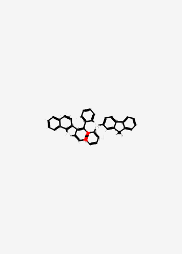 CC1(C)c2ccccc2-c2ccc(N(c3ccccc3)c3ccccc3-c3cccc4oc5c6ccccc6ccc5c34)cc21